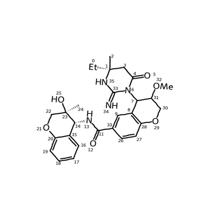 CC[C@]1(C)CC(=O)N(C2c3cc(C(=O)N[C@@H]4c5ccccc5OC[C@@]4(C)O)ccc3OCC2OC)C(=N)N1